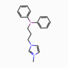 C[n+]1ccn(CCCP(c2ccccc2)c2ccccc2)c1